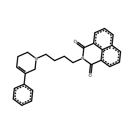 O=C1c2cccc3cccc(c23)C(=O)N1CCCCN1CCC=C(c2ccccc2)C1